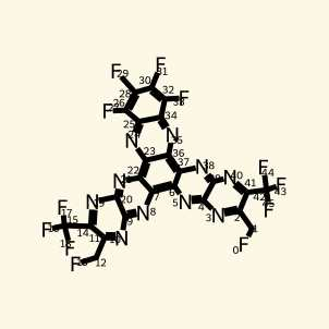 FCc1nc2nc3c4nc5nc(CF)c(C(F)(F)F)nc5nc4c4nc5c(F)c(F)c(F)c(F)c5nc4c3nc2nc1C(F)(F)F